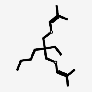 CCCCC(CC)(COC=C(C)C)COC=C(C)C